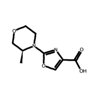 C[C@H]1COCCN1c1nc(C(=O)O)co1